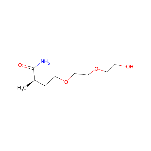 C[C@H](CCOCCOCCO)C(N)=O